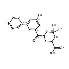 O=C(O)C1CN(C(=O)c2cc(F)cc(-c3ccncc3)c2)CC(F)(F)C1